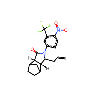 C=CCC1[C@@H]2C3CCC(C3)[C@@H]2C(=O)N1c1ccc([N+](=O)[O-])c(C(F)(F)F)c1